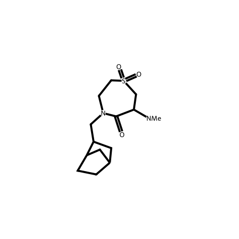 CNC1CS(=O)(=O)CCN(CC2CC3CCC2C3)C1=O